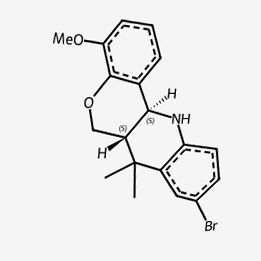 COc1cccc2c1OC[C@@H]1[C@@H]2Nc2ccc(Br)cc2C1(C)C